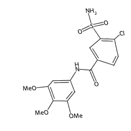 COc1cc(NC(=O)c2ccc(Cl)c(S(N)(=O)=O)c2)cc(OC)c1OC